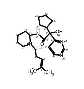 CC(C)=CCCN1CCCCC1NC(=O)C(O)(c1ccncn1)C1CCCC1